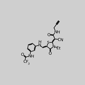 C#CCNC(=O)C(C#N)=c1sc(=CNc2cccc(NC(=O)C(F)(F)F)c2)c(=O)n1CC